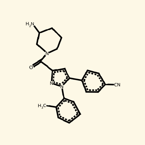 Cc1ccccc1-n1nc(C(=O)N2CCCC(N)C2)cc1-c1ccc(C#N)cc1